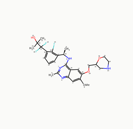 COc1cc2nc(C)nc(N[C@H](C)c3cccc(C(F)(F)C(C)(C)O)c3F)c2cc1OCC1CNCCO1